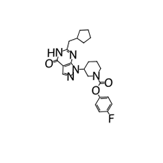 O=C(Oc1ccc(F)cc1)N1CCCC(n2ncc3c(=O)[nH]c(CC4CCCC4)nc32)C1